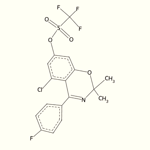 CC1(C)N=C(c2ccc(F)cc2)c2c(Cl)cc(OS(=O)(=O)C(F)(F)F)cc2O1